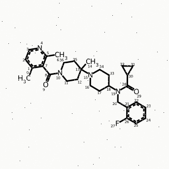 Cc1ccnc(C)c1C(=O)N1CCC(C)(N2CCC(N(Cc3ccccc3F)C(=O)C3CC3)CC2)CC1